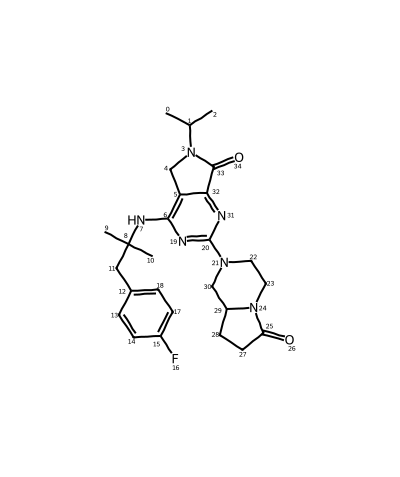 CC(C)N1Cc2c(NC(C)(C)Cc3ccc(F)cc3)nc(N3CCN4C(=O)CCC4C3)nc2C1=O